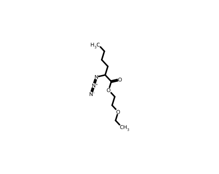 CCCCC(N=[N+]=[N-])C(=O)OCCOCC